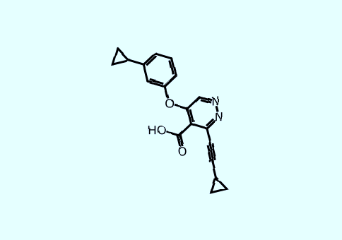 O=C(O)c1c(Oc2cccc(C3CC3)c2)cnnc1C#CC1CC1